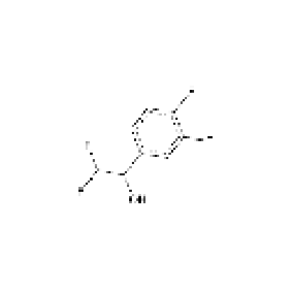 OC(c1ccc(F)c(F)c1)C(F)F